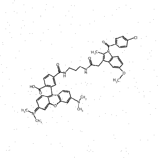 COc1ccc2c(c1)c(CC(=O)NCCCNC(=O)c1ccc(C(=O)O)c(-c3c4ccc(=[N+](C)C)cc-4oc4cc(N(C)C)ccc34)c1)c(C)n2C(=O)c1ccc(Cl)cc1